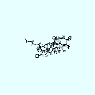 CCCCCC(=O)O[C@]1(C(=O)CCl)C(C)C[C@H]2[C@@H]3CCC4=C(F)C(=O)C=C[C@]4(C)[C@@]3(F)C(O)C[C@@]21C